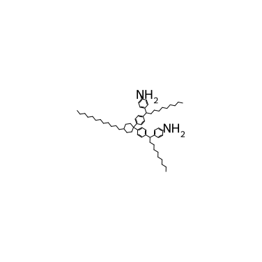 CCCCCCCCCCCCC1CCC(c2ccc(C(CCCCCCCCC)c3ccc(N)cc3)cc2)(c2ccc(C(CCCCCCCCC)c3ccc(N)cc3)cc2)CC1